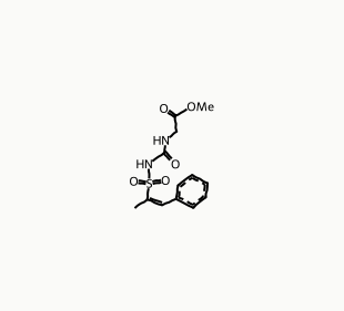 COC(=O)CNC(=O)NS(=O)(=O)C(C)=Cc1ccccc1